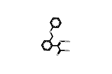 CNC(=O)/C(=N\OC)c1ccccc1COc1ccccc1